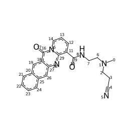 CN(CCC#N)CCNC(=O)c1cccn2c(=O)c3cc4ccccc4cc3nc12